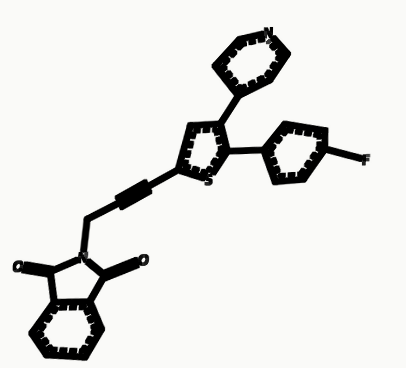 O=C1c2ccccc2C(=O)N1CC#Cc1cc(-c2ccncc2)c(-c2ccc(F)cc2)s1